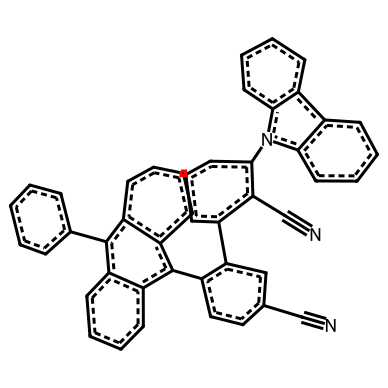 N#Cc1ccc(-c2c3ccccc3c(-c3ccccc3)c3ccccc23)c(-c2cccc(-n3c4ccccc4c4ccccc43)c2C#N)c1